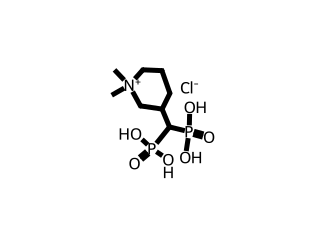 C[N+]1(C)CCCC(C(P(=O)(O)O)P(=O)(O)O)C1.[Cl-]